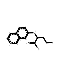 CCCC(Oc1ccc2ccncc2c1)C(=O)O